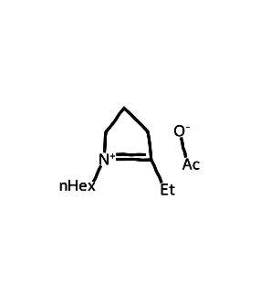 CC(=O)[O-].CCCCCC[N+]1=C(CC)CCC1